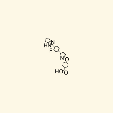 O=C(O)[C@H]1CC[C@@H](Oc2ccc(-c3ccc(-c4nc5c([nH]4)CCC5)c(F)c3)cn2)CC1